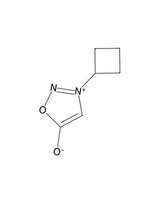 [O-]c1c[n+](C2CCC2)no1